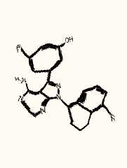 Nc1ncnc2c1c(-c1cc(O)cc(F)c1)nn2C1CCCc2c(F)cccc21